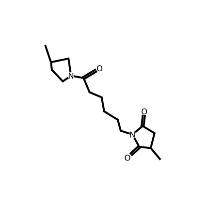 CC1CCN(C(=O)CCCCCN2C(=O)CC(C)C2=O)C1